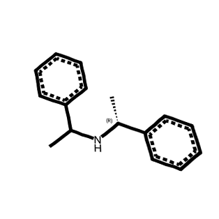 CC(N[C@H](C)c1ccccc1)c1ccccc1